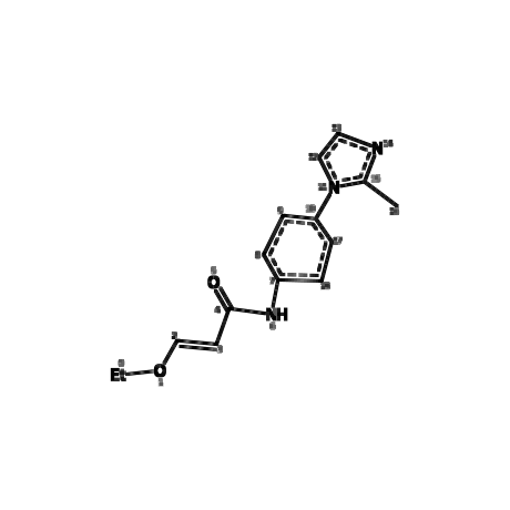 CCOC=CC(=O)Nc1ccc(-n2ccnc2C)cc1